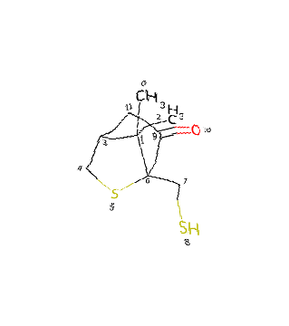 CC1(C)C2CSC1(CS)C(=O)C2